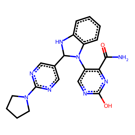 NC(=O)c1nc(O)ncc1N1c2ccccc2NC1c1cnc(N2CCCC2)nc1